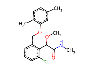 CNC(=O)C(OC)c1c(Cl)cccc1COc1cc(C)ccc1C